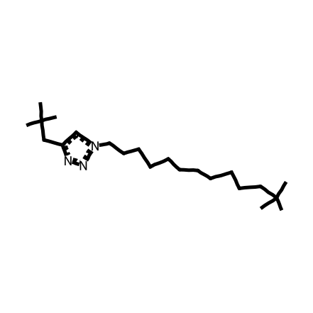 CC(C)(C)CCCCCCCCCCCn1cc(CC(C)(C)C)nn1